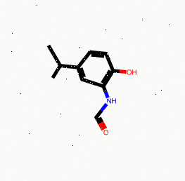 CC(C)c1ccc(O)c(NC=O)c1